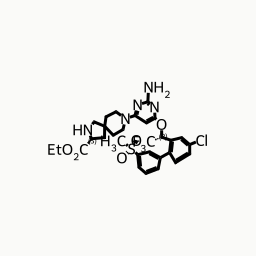 CCOC(=O)[C@@H]1CC2(CCN(c3cc(O[C@H](c4cc(Cl)ccc4-c4cccc(S(C)(=O)=O)c4)C(F)(F)F)nc(N)n3)CC2)CN1